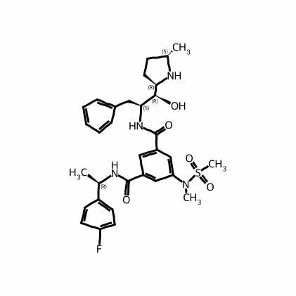 C[C@H]1CC[C@H]([C@@H](O)[C@H](Cc2ccccc2)NC(=O)c2cc(C(=O)N[C@H](C)c3ccc(F)cc3)cc(N(C)S(C)(=O)=O)c2)N1